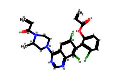 C=CC(=O)Oc1cccc(F)c1-c1c(Cl)cc2c(N3CCN(C(=O)C=C)C(C)C3)ncnc2c1F